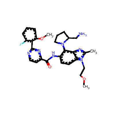 COCCn1c(C)nc2c(N3CCCC3CN)c(NC(=O)c3ccnc(-c4c(F)cccc4OC)n3)ccc21